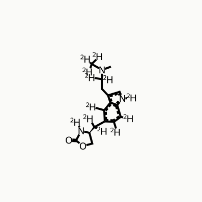 [2H]c1c(C([2H])([2H])[C@H]2COC(=O)N2[2H])c([2H])c2c(CC([2H])([2H])N(C)C([2H])([2H])[2H])cn([2H])c2c1[2H]